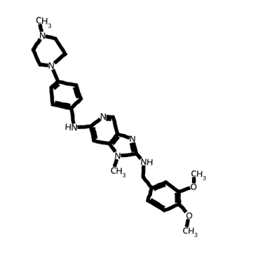 COc1ccc(CNc2nc3cnc(Nc4ccc(N5CCN(C)CC5)cc4)cc3n2C)cc1OC